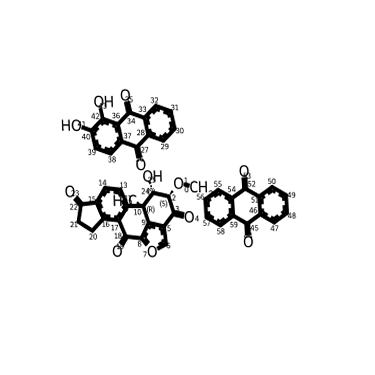 CO[C@@H]1C(=O)c2coc3c2[C@@](C)(c2ccc4c(c2C3=O)CCC4=O)[C@@H]1O.O=C1c2ccccc2C(=O)c2c1ccc(O)c2O.O=C1c2ccccc2C(=O)c2ccccc21